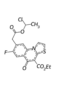 CCOC(=O)c1c(=O)c2cc(F)c(CC(=O)OC(C)Cl)cc2n2ccsc12